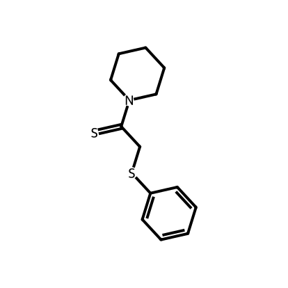 S=C(CSc1ccccc1)N1CCCCC1